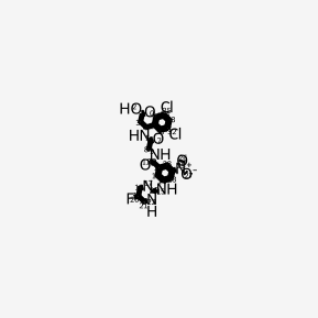 O=C(O)CC(NC(=O)CNC(=O)c1cc(NC2=NCC(F)CN2)cc([N+](=O)[O-])c1)c1cc(Cl)cc(Cl)c1